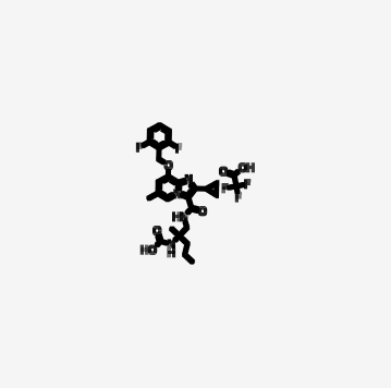 CCCC(C)(CNC(=O)c1c(C2CC2)nc2c(OCc3c(F)cccc3F)cc(C)cn12)NC(=O)O.O=C(O)C(F)(F)F